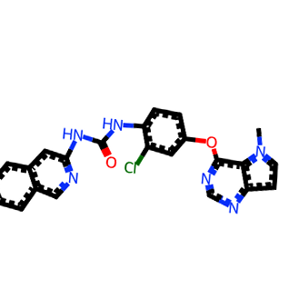 Cn1ccc2ncnc(Oc3ccc(NC(=O)Nc4cc5ccccc5cn4)c(Cl)c3)c21